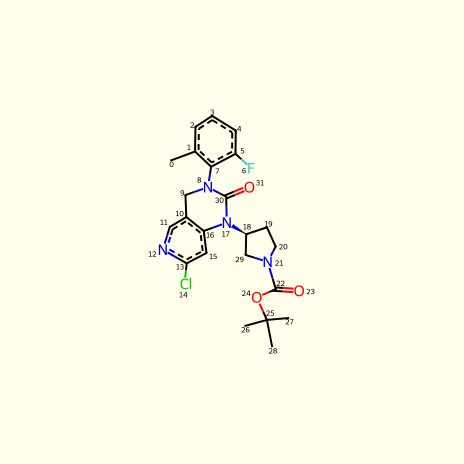 Cc1cccc(F)c1N1Cc2cnc(Cl)cc2N([C@H]2CCN(C(=O)OC(C)(C)C)C2)C1=O